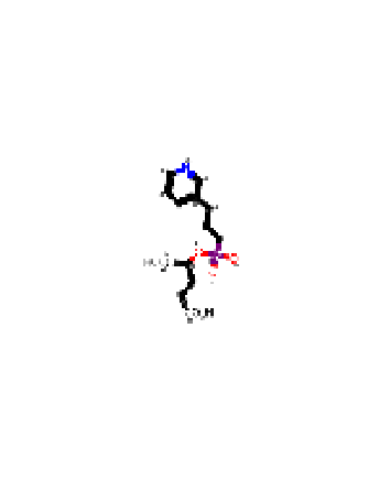 O=C(O)CCC(OP(=O)(O)CCCc1cccnc1)C(=O)O